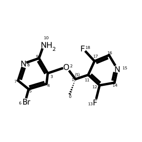 C[C@H](Oc1cc(Br)cnc1N)c1c(F)cncc1F